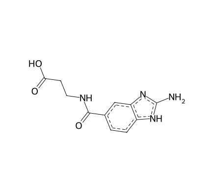 Nc1nc2cc(C(=O)NCCC(=O)O)ccc2[nH]1